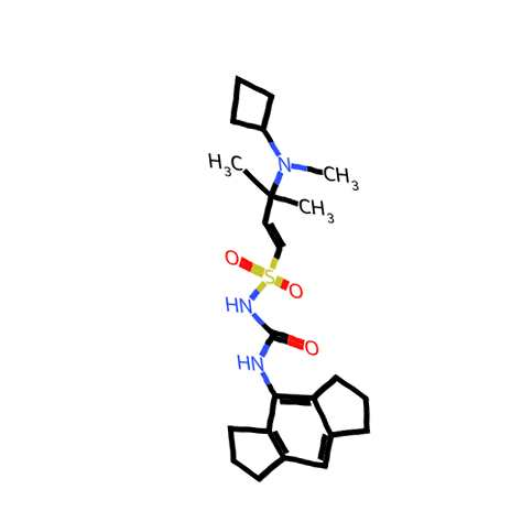 CN(C1CCC1)C(C)(C)/C=C/S(=O)(=O)NC(=O)Nc1c2c(cc3c1CCC3)CCC2